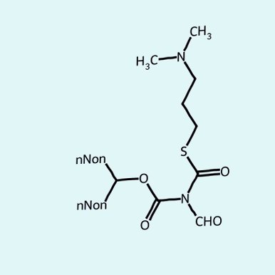 CCCCCCCCCC(CCCCCCCCC)OC(=O)N(C=O)C(=O)SCCCN(C)C